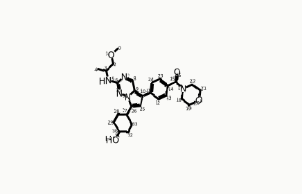 COCC(C)Nc1ncc2c(-c3ccc(C(=O)N4CCOCC4)cc3)cc(C3CCC(O)CC3)n2n1